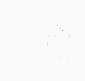 Cc1nc2cccc(CCc3ccc(CN4CCCCCC4)cc3Br)c2c(=O)n1C(C)CCC(=O)NC=O